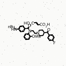 CCCCNc1ccc(C(=O)N(CCN2CCC(C(=O)c3ccc(F)cc3)CC2)c2ccccc2OC)cc1.O=C(O)C=CC(=O)O